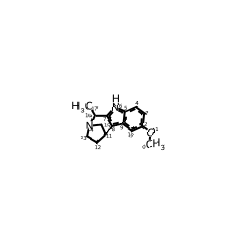 COc1ccc2[nH]c3c(c2c1)C1CCN(C1)C3C